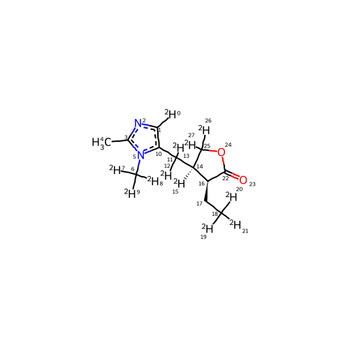 [2H]c1nc(C)n(C([2H])([2H])[2H])c1C([2H])([2H])[C@]1([2H])[C@H](CC([2H])([2H])[2H])C(=O)OC1([2H])[2H]